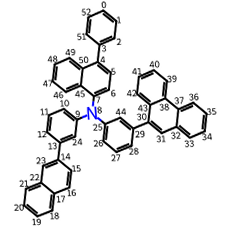 c1ccc(-c2ccc(N(c3cccc(-c4ccc5ccccc5c4)c3)c3cccc(-c4cc5ccccc5c5ccccc45)c3)c3ccccc23)cc1